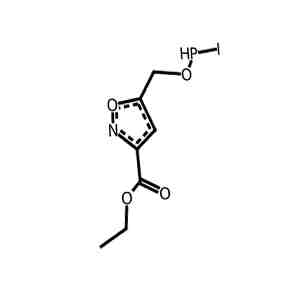 CCOC(=O)c1cc(COPI)on1